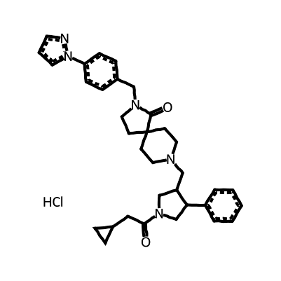 Cl.O=C(CC1CC1)N1CC(CN2CCC3(CC2)CCN(Cc2ccc(-n4cccn4)cc2)C3=O)C(c2ccccc2)C1